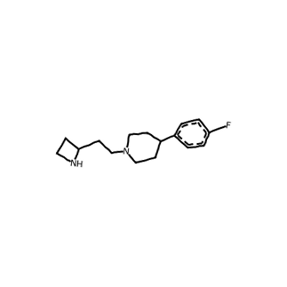 Fc1ccc(C2CCN(CCC3CCN3)CC2)cc1